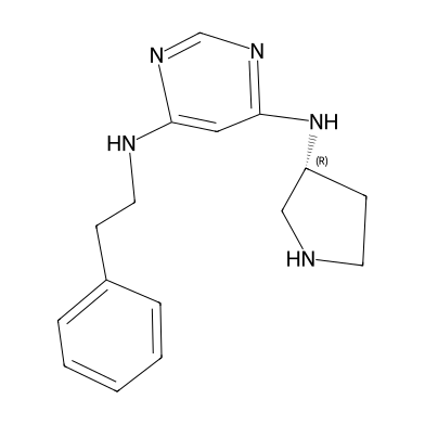 c1ccc(CCNc2cc(N[C@@H]3CCNC3)ncn2)cc1